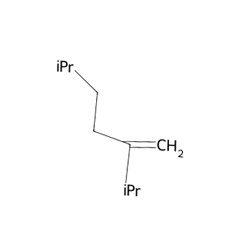 C=C(CCC(C)C)C(C)C